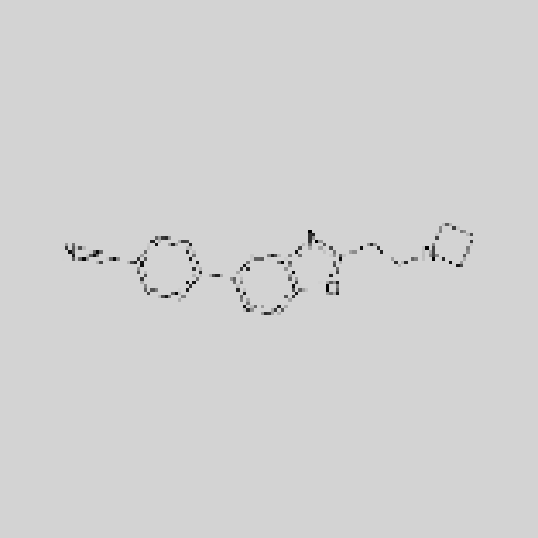 N#Cc1ccc(-c2ccc3oc(CCN4CCC4)nc3c2)cc1